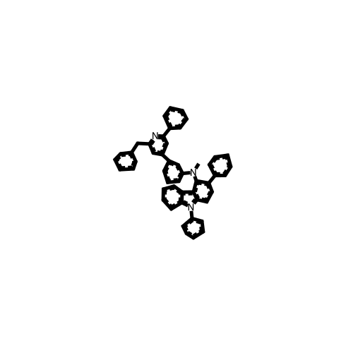 CN(c1cccc(-c2cc(Cc3ccccc3)nc(-c3ccccc3)c2)c1)c1c(-c2ccccc2)ccc2c1c1ccccc1n2-c1ccccc1